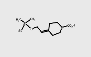 CC(C)(C)[Si](C)(C)OCC=C1CCN(C(=O)O)CC1